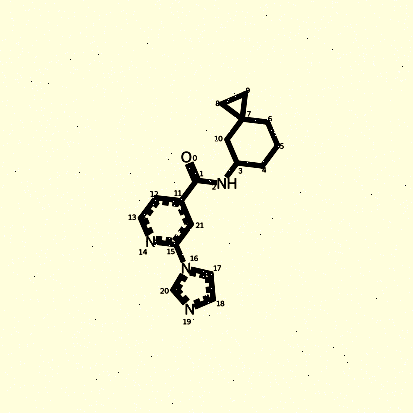 O=C(NC1CCCC2(CC2)C1)c1ccnc(-n2ccnc2)c1